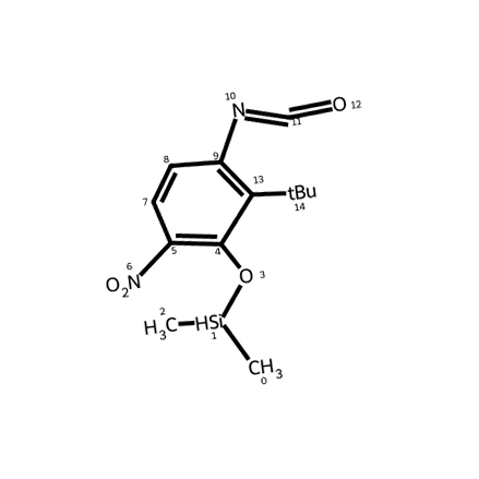 C[SiH](C)Oc1c([N+](=O)[O-])ccc(N=C=O)c1C(C)(C)C